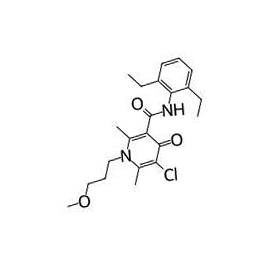 CCc1cccc(CC)c1NC(=O)c1c(C)n(CCCOC)c(C)c(Cl)c1=O